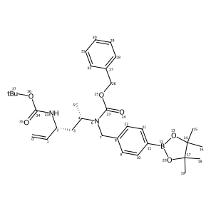 C=C[C@@H](C[C@H](C)N(Cc1ccc(B2OC(C)(C)C(C)(C)O2)cc1)C(=O)OCc1ccccc1)NC(=O)OC(C)(C)C